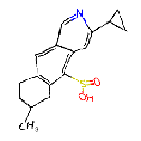 CC1CCc2cc3cnc(C4CC4)cc3c(S(=O)O)c2C1